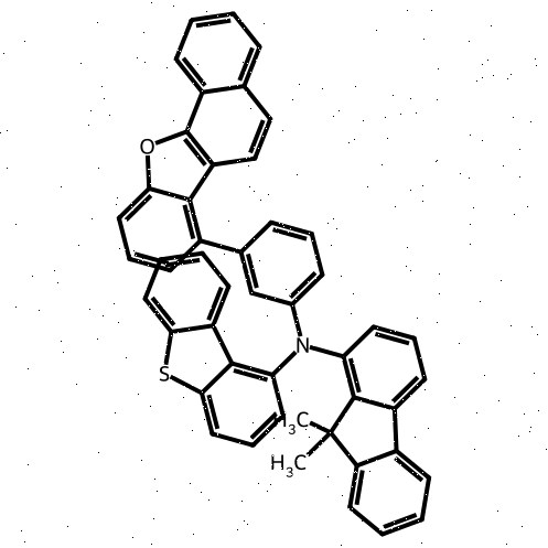 CC1(C)c2ccccc2-c2cccc(N(c3cccc(-c4cccc5oc6c7ccccc7ccc6c45)c3)c3cccc4sc5ccccc5c34)c21